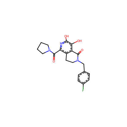 O=C(c1nc(O)c(O)c2c1CCN(Cc1ccc(F)cc1)C2=O)N1CCCC1